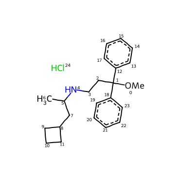 COC(CCNC(C)CC1CCC1)(c1ccccc1)c1ccccc1.Cl